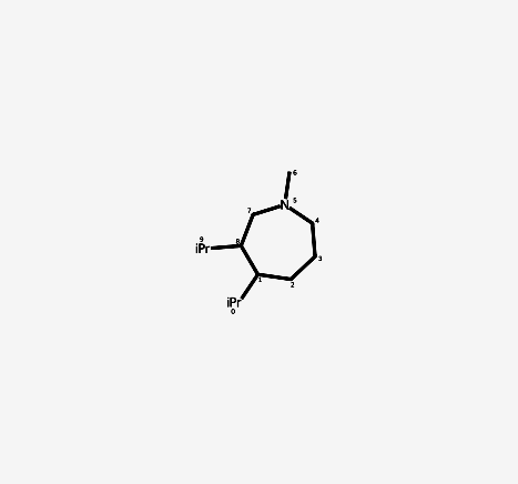 CC(C)C1CCCN(C)CC1C(C)C